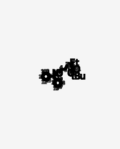 CCN(CCCON=C(c1ccccc1)c1ccccc1)C(=O)OC(C)(C)C